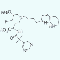 COC(CF)CN(CCCCc1ccc2c(n1)NCCC2)CCC(NC(=O)C(C)(C)c1cncnc1)C(=O)O